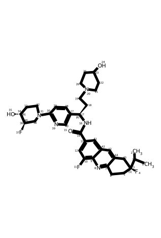 CC(C)[C@]1(F)CCc2nc3c(F)cc(C(=O)N[C@H](CCN4CCC(O)CC4)c4ccc(N5CC[C@@H](O)[C@H](F)C5)nc4)cc3cc2C1